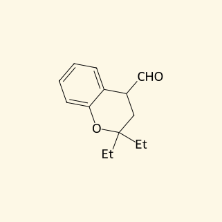 CCC1(CC)CC(C=O)c2ccccc2O1